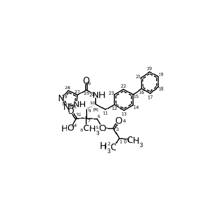 CC(C)C(=O)OCC(C)(C[C@@H](Cc1ccc(-c2ccccc2)cc1)NC(=O)c1cnn[nH]1)C(=O)O